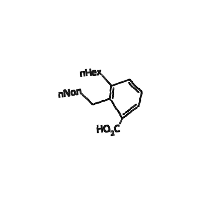 CCCCCCCCCCc1c(CCCCCC)cccc1C(=O)O